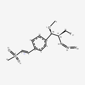 CO[C@H](c1ccc(/C=C/S(C)(=O)=O)cc1)[C@@H](CF)N=[N+]=[N-]